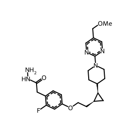 COCc1cnc(N2CCC([C@H]3C[C@H]3CCOc3ccc(CC(=O)NN)c(F)c3)CC2)nc1